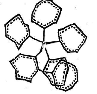 c1ccc(-c2ccccc2P(c2ccccc2)(c2ccccc2)(c2ccccc2)c2ccccc2)cc1